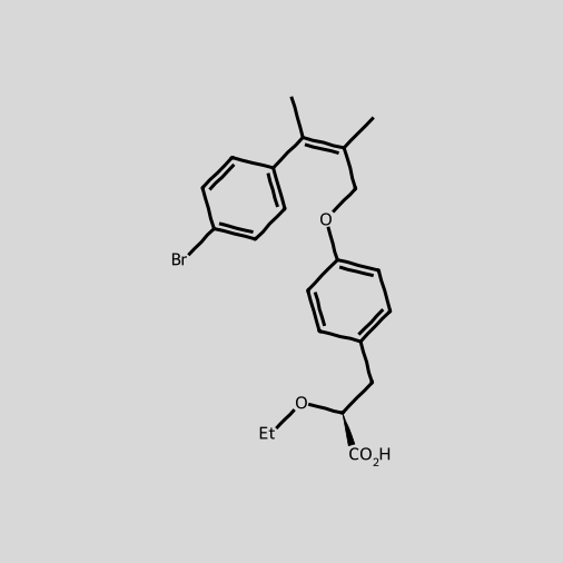 CCO[C@@H](Cc1ccc(OCC(C)=C(C)c2ccc(Br)cc2)cc1)C(=O)O